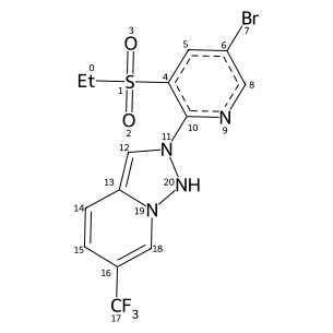 CCS(=O)(=O)c1cc(Br)cnc1N1C=C2C=CC(C(F)(F)F)=CN2N1